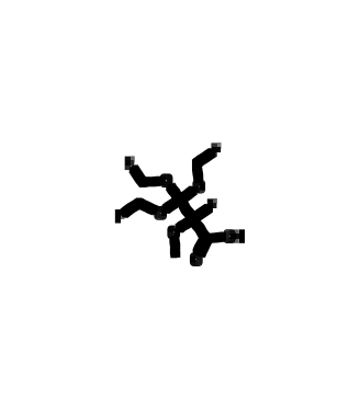 COC(F)(C(=O)O)C(OCF)(OCF)OCF